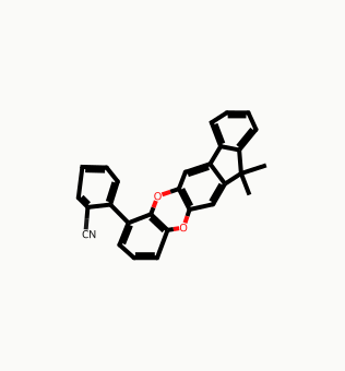 CC1(C)c2ccccc2-c2cc3c(cc21)Oc1cccc(-c2ccccc2C#N)c1O3